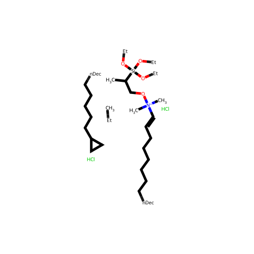 CCC.CCCCCCCCCCCCCCCC1CC1.CCCCCCCCCCCCCCCCC=C[N+](C)(C)OCC(C)[Si](OCC)(OCC)OCC.Cl.Cl